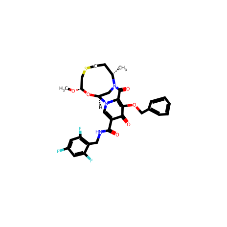 CO[C@@H]1CSCC[C@H](C)N2C[C@H](O1)n1cc(C(=O)NCc3c(F)cc(F)cc3F)c(=O)c(OCc3ccccc3)c1C2=O